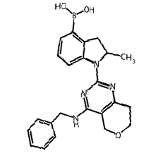 CC1Cc2c(B(O)O)cccc2N1c1nc2c(c(NCc3ccccc3)n1)COCC2